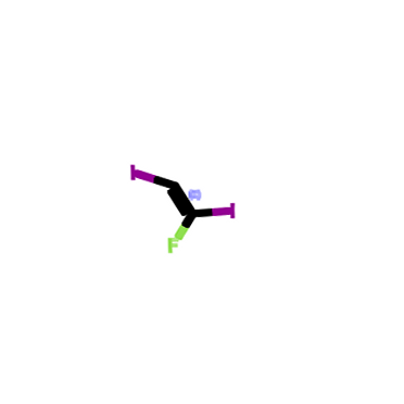 F/C(I)=C\I